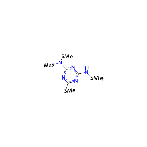 CSNc1nc(SC)nc(N(SC)SC)n1